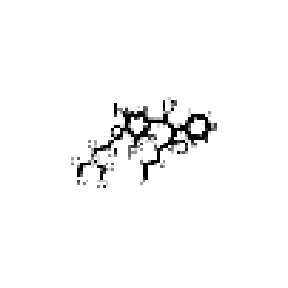 CCCCc1oc2ccccc2c1C(=O)c1cc(F)c(OCCN(CC)CC)c(F)c1